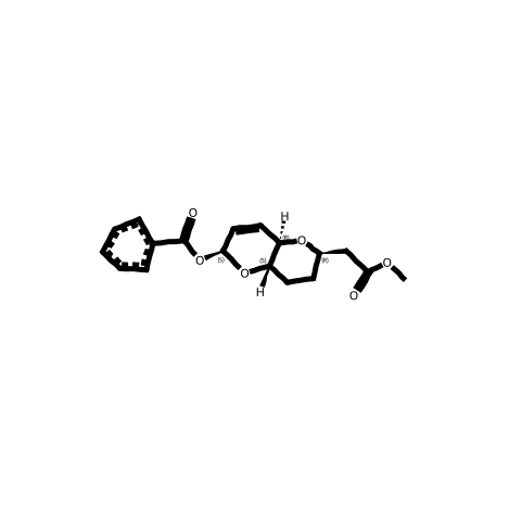 COC(=O)C[C@H]1CC[C@@H]2O[C@@H](OC(=O)c3ccccc3)C=C[C@H]2O1